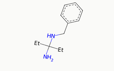 [CH2]CC(N)(CC)NCc1ccccc1